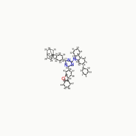 c1ccc(-c2ccc3c4ccccc4n(-c4nc(-c5ccc(C67CC8CC(CC(C8)C6)C7)cc5)nc(-c5ccc6c(c5)oc5ccccc56)n4)c3c2)cc1